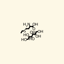 CCSCCC(N)C(=O)O.OC[C@@H](O)[C@@H](O)[C@H](O)[C@H](O)CO